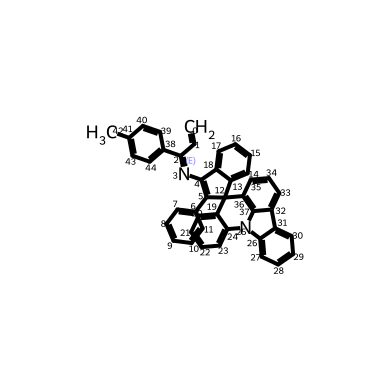 C=C/C(=N\C1=C(c2ccccc2)C2(c3ccccc31)c1ccccc1-n1c3ccccc3c3cccc2c31)c1ccc(C)cc1